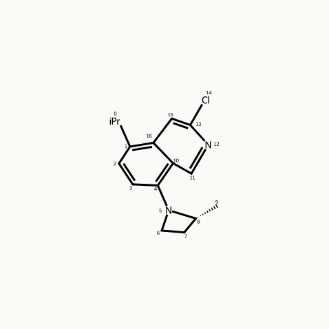 CC(C)c1ccc(N2CC[C@H]2C)c2cnc(Cl)cc12